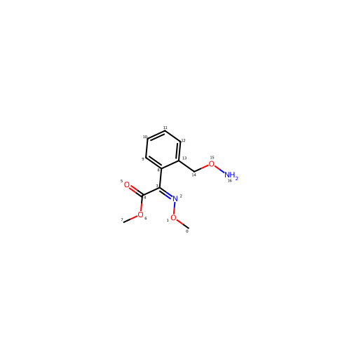 CON=C(C(=O)OC)c1ccccc1CON